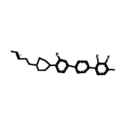 C/C=C/CCC1CCC(c2ccc(-c3ccc(-c4ccc(C)c(F)c4F)cc3)cc2F)CC1